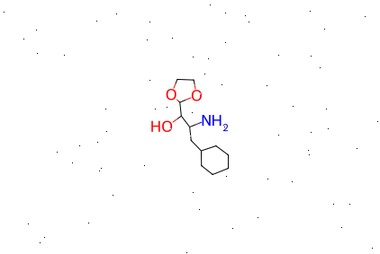 NC(CC1CCCCC1)C(O)C1OCCO1